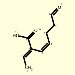 C/C=C(\C=C/CCC=O)C(=O)O